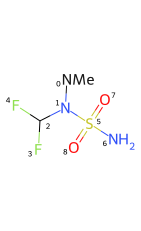 CNN(C(F)F)S(N)(=O)=O